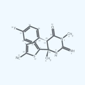 CN1C(=N)N[C@](C)(c2ccc(C#N)s2)[C@H](c2ccc(F)cc2)C1=O